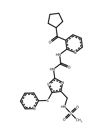 CS(=O)(=O)NCc1nc(NC(=O)Nc2ncccc2C(=O)C2CCCC2)sc1Sc1ccccn1